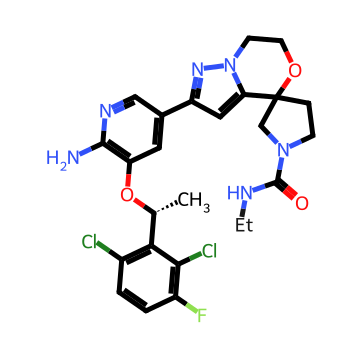 CCNC(=O)N1CCC2(C1)OCCn1nc(-c3cnc(N)c(O[C@H](C)c4c(Cl)ccc(F)c4Cl)c3)cc12